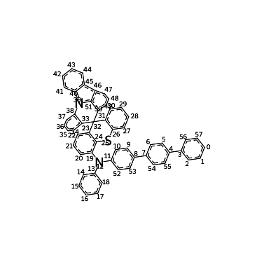 c1ccc(-c2ccc(-c3ccc(N(c4ccccc4)c4cccc5c4Sc4ccccc4C54c5ccccc5-n5c6ccccc6c6cccc4c65)cc3)cc2)cc1